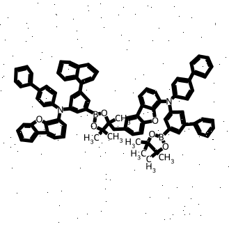 CC1(C)OB(c2cc(-c3ccccc3)cc(N(c3ccc(-c4ccccc4)cc3)c3cccc4c3oc3ccc(CC5(C)OB(c6cc(-c7cccc8ccccc78)cc(N(c7ccc(-c8ccccc8)cc7)c7cccc8c7oc7ccccc78)c6)OC5(C)C)cc34)c2)OC1(C)C